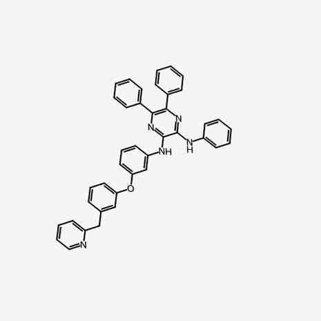 c1ccc(Nc2nc(-c3ccccc3)c(-c3ccccc3)nc2Nc2cccc(Oc3cccc(Cc4ccccn4)c3)c2)cc1